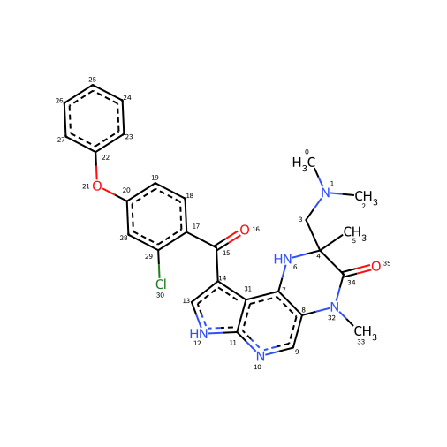 CN(C)CC1(C)Nc2c(cnc3[nH]cc(C(=O)c4ccc(Oc5ccccc5)cc4Cl)c23)N(C)C1=O